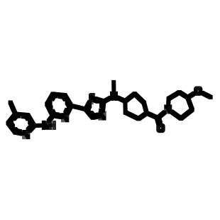 COC1CCN(C(=O)C2CCC(N(C)c3ncc(-c4cccc(Nc5cc(C)ccn5)n4)s3)CC2)CC1